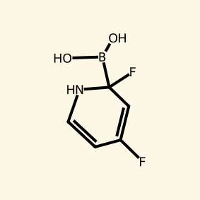 OB(O)C1(F)C=C(F)C=CN1